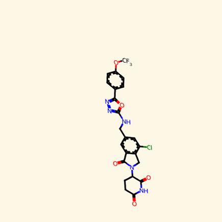 O=C1CCC(N2Cc3c(Cl)cc(CNc4nnc(-c5ccc(OC(F)(F)F)cc5)o4)cc3C2=O)C(=O)N1